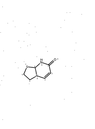 O=C1C=CN2CCSC2N1